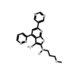 COCCC[S+]([O-])c1sc2nc(-c3cncnc3)cc(-c3cccnn3)c2c1N